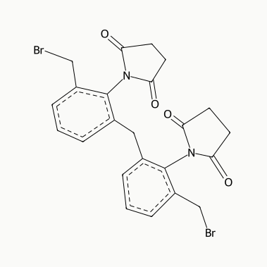 O=C1CCC(=O)N1c1c(CBr)cccc1Cc1cccc(CBr)c1N1C(=O)CCC1=O